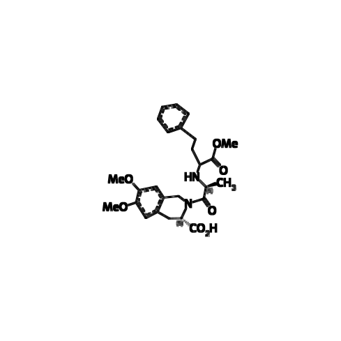 COC(=O)C(CCc1ccccc1)N[C@@H](C)C(=O)N1Cc2cc(OC)c(OC)cc2C[C@H]1C(=O)O